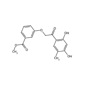 COC(=O)c1cccc(OCC(=O)c2cc(C)c(O)cc2O)c1